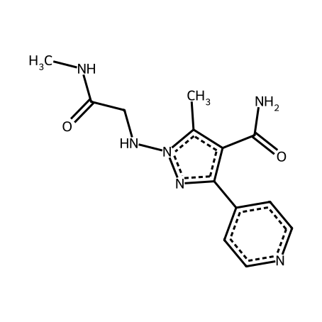 CNC(=O)CNn1nc(-c2ccncc2)c(C(N)=O)c1C